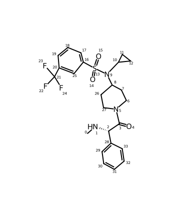 CN[C@H](C(=O)N1CCC(N(C2CC2)S(=O)(=O)c2cccc(C(F)(F)F)c2)CC1)c1ccccc1